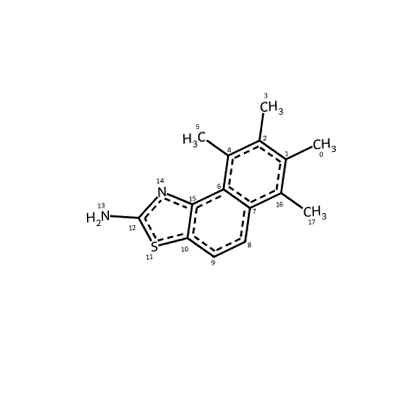 Cc1c(C)c(C)c2c(ccc3sc(N)nc32)c1C